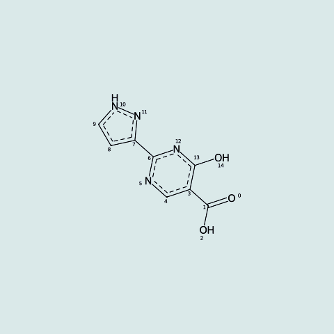 O=C(O)c1cnc(-c2cc[nH]n2)nc1O